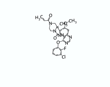 C=CC(=O)N1CCN(C(N)=O)[C@](C)(c2cc3c(Oc4cccc(Cl)c4F)ncnc3cc2OC)C1